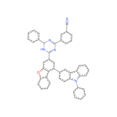 N#Cc1cccc(C2=NC(c3ccccc3)NC(c3cc(-c4ccc5c(c4)c4ccccc4n5-c4ccccc4)c4c(c3)oc3ccccc34)=N2)c1